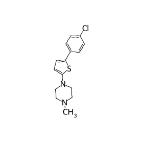 CN1CCN(c2ccc(-c3ccc(Cl)cc3)s2)CC1